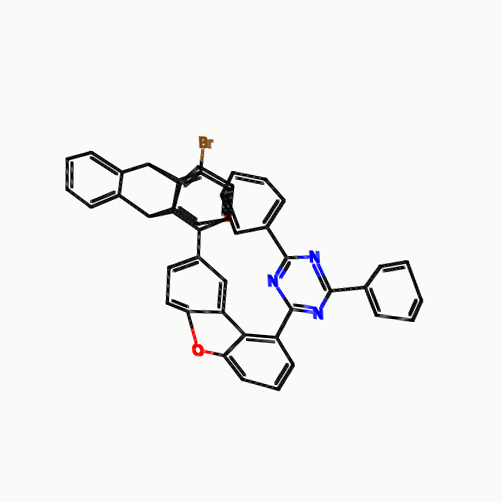 Brc1ccc(-c2ccc3oc4cccc(-c5nc(-c6ccccc6)nc(-c6ccccc6)n5)c4c3c2)c2c1C1c3ccccc3C2c2ccccc21